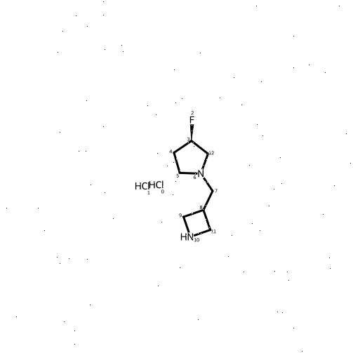 Cl.Cl.F[C@@H]1CCN(CC2CNC2)C1